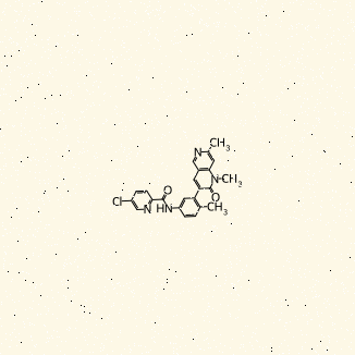 Cc1cc2c(cn1)cc(-c1cc(NC(=O)c3ccc(Cl)cn3)ccc1C)c(=O)n2C